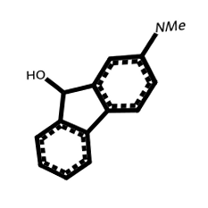 CNc1ccc2c(c1)C(O)c1ccccc1-2